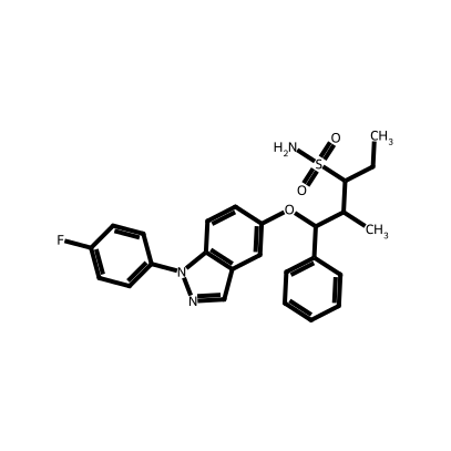 CCC(C(C)C(Oc1ccc2c(cnn2-c2ccc(F)cc2)c1)c1ccccc1)S(N)(=O)=O